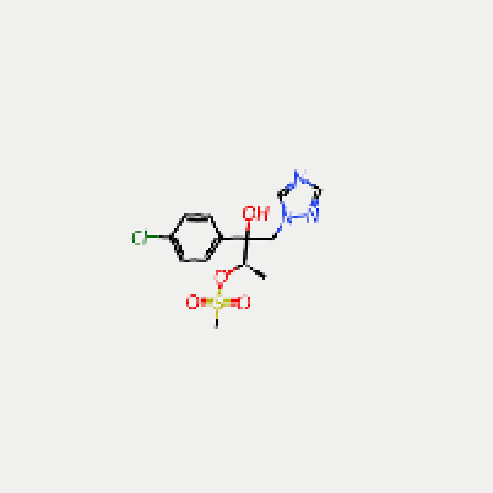 C[C@@H](OS(C)(=O)=O)C(O)(Cn1cncn1)c1ccc(Cl)cc1